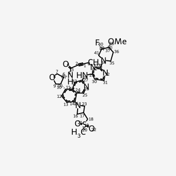 CC#CC(=O)N[C@H]1COC[C@H]1c1ccc(N2CC(CS(C)(=O)=O)C2)c2cnc(Nc3ccnc(N4CC[C@@H](OC)[C@@H](F)C4)n3)cc12